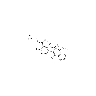 CN(CCC1CC1)c1c(Cl)ccc(C2=C(O)c3ncccc3C(C)(C)S2(=O)=O)c1Cl